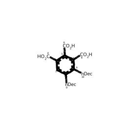 CCCCCCCCCCc1cc(C(=O)O)c(C(=O)O)c(C(=O)O)c1CCCCCCCCCC